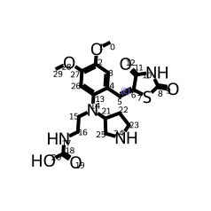 COc1cc(/C=C2/SC(=O)NC2=O)c(N(CCNC(=O)O)C2CCNC2)cc1OC